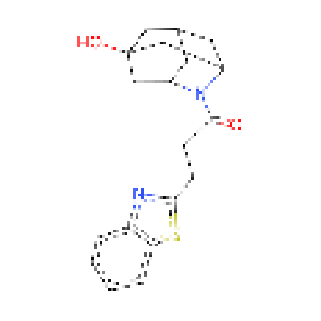 O=C(CCc1nc2ccccc2s1)N1C2CC3CC1CC(O)(C3)C2